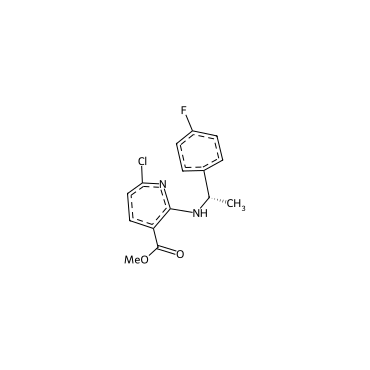 COC(=O)c1ccc(Cl)nc1N[C@@H](C)c1ccc(F)cc1